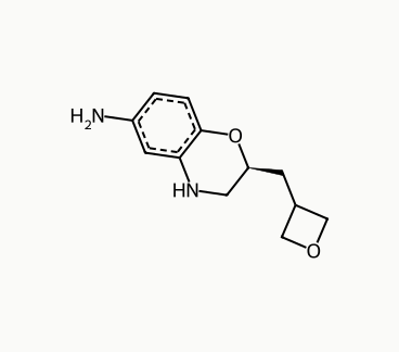 Nc1ccc2c(c1)NC[C@H](CC1COC1)O2